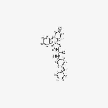 O=C(Nc1ccc(Sc2ccccc2)cc1)N1CC(c2ccccc2)C(c2ccc(Cl)cc2)=N1